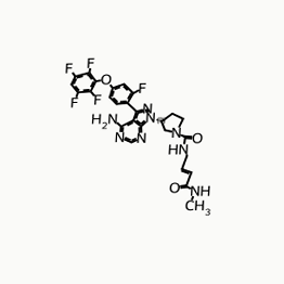 CNC(=O)C=CCNC(=O)N1CC[C@@H](n2nc(-c3ccc(Oc4c(F)c(F)cc(F)c4F)cc3F)c3c(N)ncnc32)C1